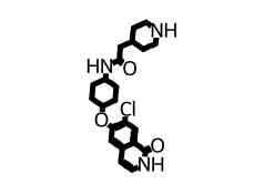 O=C(CC1CCNCC1)NC1CCC(Oc2cc3cc[nH]c(=O)c3cc2Cl)CC1